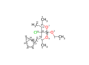 CCO[Si](OCC)(OCC)C(Cl)(CC)CC.c1cc2cc-2c1